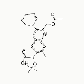 CC(=O)OCc1nc2cc(C)c(C(OC(C)(C)C)C(=O)O)cc2cc1C1C=CCCC1